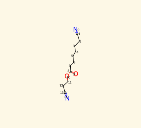 N#CCCCCCCC(=O)OCCC#N